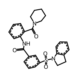 O=C(Nc1ccccc1C(=O)N1CCCCC1)c1cccc(S(=O)(=O)N2CCc3ccccc32)c1